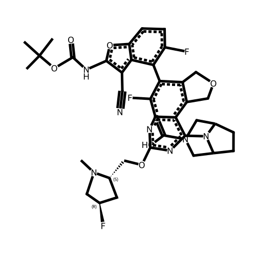 CN1C[C@H](F)C[C@H]1COc1nc(N2C3CCC2CN(C(=O)O)C3)c2c3c(c(-c4c(F)ccc5oc(NC(=O)OC(C)(C)C)c(C#N)c45)c(F)c2n1)COC3